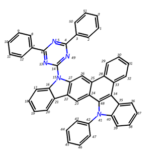 c1ccc(-c2nc(-c3ccccc3)nc(-n3c4ccccc4c4cc5c(cc43)c3ccccc3c3c4ccccc4n(-c4ccccc4)c53)n2)cc1